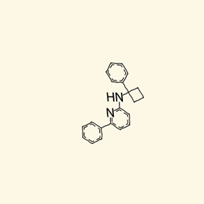 c1ccc(-c2cccc(NC3(c4ccccc4)CCC3)n2)cc1